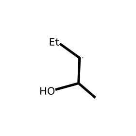 CC[CH]C(C)O